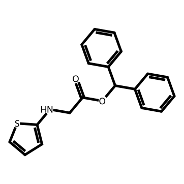 O=C(CNc1cccs1)OC(c1ccccc1)c1ccccc1